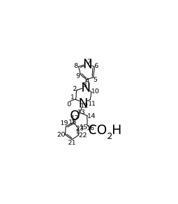 CC1CN(c2ccncc2)CCN1C(CCC(=O)O)Oc1ccccc1